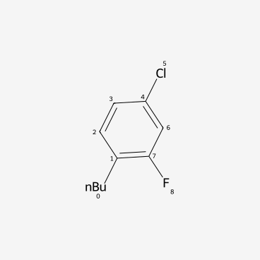 C[CH]CCc1ccc(Cl)cc1F